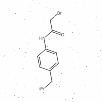 CC(C)Cc1ccc(NC(=O)CBr)cc1